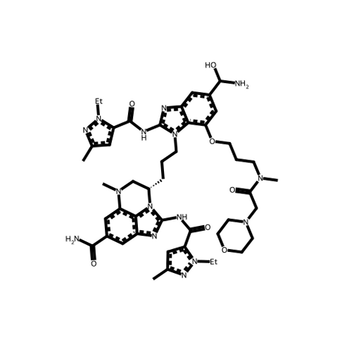 CCn1nc(C)cc1C(=O)Nc1nc2cc(C(N)O)cc(OCCCN(C)C(=O)CN3CCOCC3)c2n1CCC[C@H]1CN(C)c2cc(C(N)=O)cc3nc(NC(=O)c4cc(C)nn4CC)n1c23